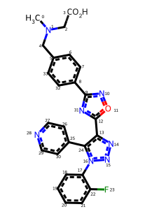 CN(CC(=O)O)Cc1ccc(-c2noc(-c3nnn(-c4ccccc4F)c3-c3ccncc3)n2)cc1